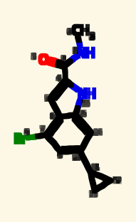 CNC(=O)c1cc2c(Br)cc(C3CC3)cc2[nH]1